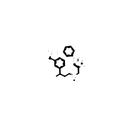 CC(CCN(C)Cc1cn(-c2ccccc2)nn1)c1cccc(C(N)=O)c1